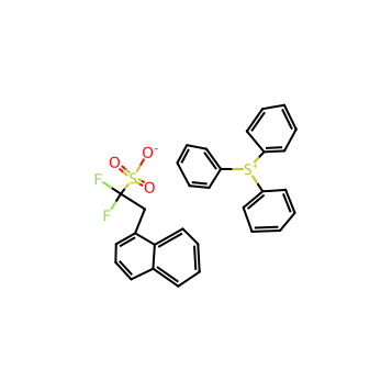 O=S(=O)([O-])C(F)(F)Cc1cccc2ccccc12.c1ccc([S+](c2ccccc2)c2ccccc2)cc1